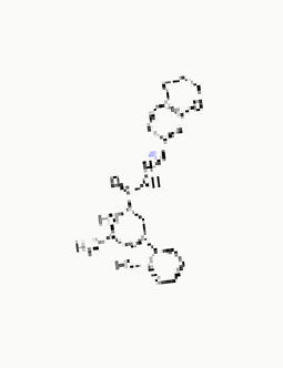 CC1NC(C(=O)N/N=C/c2ccc3c(c2)OCCO3)Cc2c1[nH]c1ccccc21